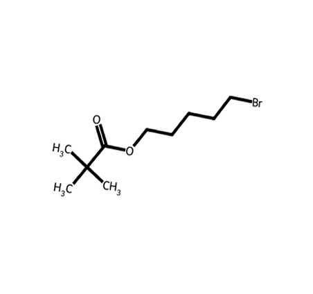 CC(C)(C)C(=O)OCCCCCBr